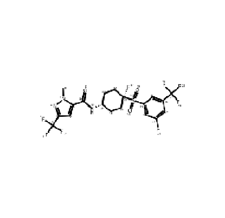 Cn1nc(C(F)(F)F)cc1C(=O)N[C@H]1CC[C@](F)(S(=O)(=O)c2cc(F)cc(C(F)(F)F)c2)CC1